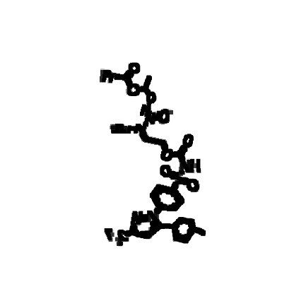 Cc1ccc(-c2cc(C(F)(F)F)nn2-c2ccc(S(=O)(=O)NC(=O)OCCN([N+]([O-])=NOC(C)OC(=O)C(C)C)C(C)(C)C)cc2)cc1